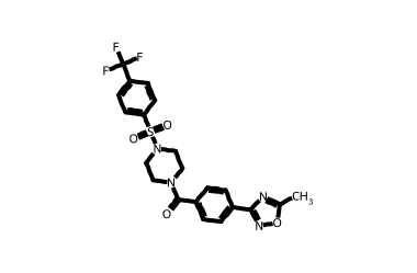 Cc1nc(-c2ccc(C(=O)N3CCN(S(=O)(=O)c4ccc(C(F)(F)F)cc4)CC3)cc2)no1